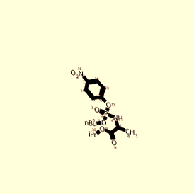 CCCCOP(=O)(NC(C)C(=O)OC(C)C)Oc1ccc([N+](=O)[O-])cc1